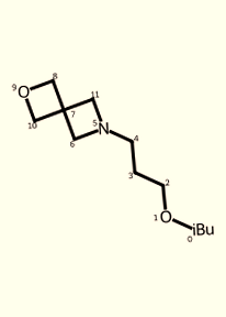 CCC(C)OCCCN1CC2(COC2)C1